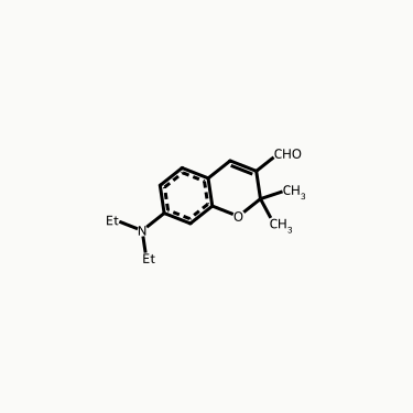 CCN(CC)c1ccc2c(c1)OC(C)(C)C(C=O)=C2